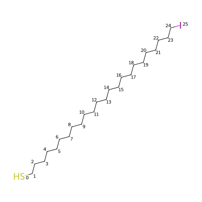 SCCCCCCCCCCCCCCCCCCCCCCCCI